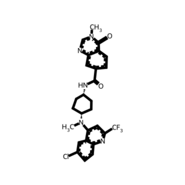 Cn1cnc2cc(C(=O)N[C@H]3CC[C@@H](N(C)c4cc(C(F)(F)F)nc5ccc(Cl)cc45)CC3)ccc2c1=O